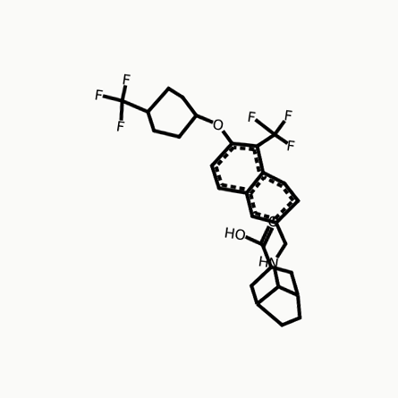 O=C(O)C1CC2CCC(C1)C2NCc1ccc2c(C(F)(F)F)c(OC3CCC(C(F)(F)F)CC3)ccc2c1